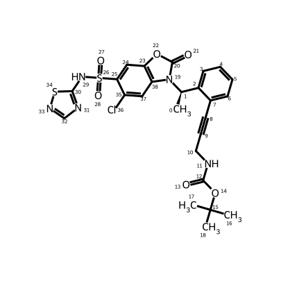 C[C@H](c1ccccc1C#CCNC(=O)OC(C)(C)C)n1c(=O)oc2cc(S(=O)(=O)Nc3ncns3)c(Cl)cc21